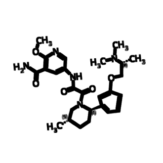 COc1ncc(NC(=O)C(=O)N2C[C@@H](C)CC[C@@H]2c2cccc(OC[C@@H](C)N(C)C)c2)cc1C(N)=O